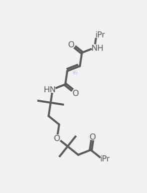 CC(C)NC(=O)/C=C/C(=O)NC(C)(C)CCOC(C)(C)CC(=O)C(C)C